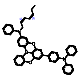 CC/C=C\C=C/CN(c1ccccc1)c1ccc2c(c1)Oc1cc(-c3ccc(N(c4ccccc4)c4ccccc4)cc3)cc3c1B2c1ccccc1O3